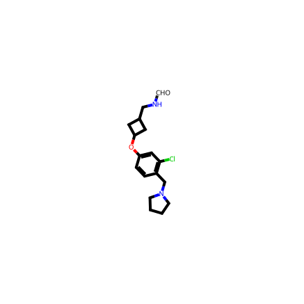 O=CNCC1CC(Oc2ccc(CN3CCCC3)c(Cl)c2)C1